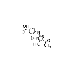 CC(=O)c1sc(=Nc2ccc(C(=O)O)cc2)n(C2CC2)c1C